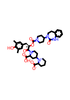 Cc1cc(C[C@@H](OC(=O)N2CCC(N3CCc4ccccc4NC3=O)CC2)C(=O)N2CCC([N+]3CCCCC3C(=O)[O-])CC2C(=O)O)cc(C)c1O